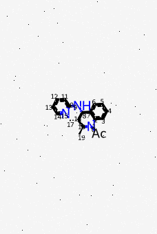 CC(=O)N1c2ccccc2C(Nc2ccccn2)[C@@H](C)[C@@H]1C